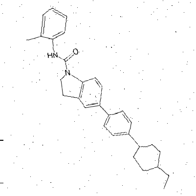 CCC1CCC(c2ccc(-c3ccc4c(c3)CCN4C(=O)Nc3ccccc3C)cc2)CC1